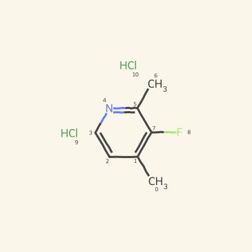 Cc1ccnc(C)c1F.Cl.Cl